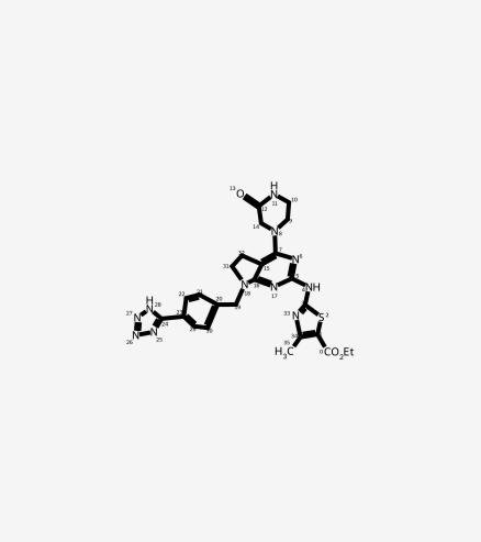 CCOC(=O)c1sc(Nc2nc(N3CCNC(=O)C3)c3c(n2)N(Cc2ccc(-c4nnn[nH]4)cc2)CC3)nc1C